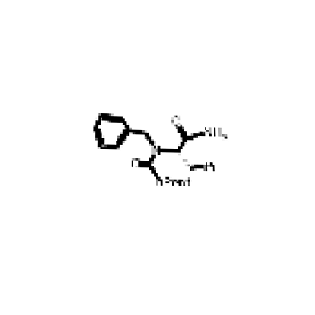 CCCCCC(=O)N(Cc1ccccc1)[C@@H](CC(C)C)C(N)=O